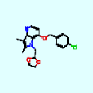 Cc1c(C)n(CC2OCCO2)c2c(OCc3ccc(Cl)cc3)ccnc12